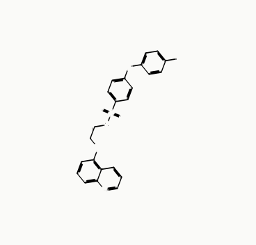 C[C@@H](COc1cccc2ncccc12)NS(=O)(=O)c1ccc(Oc2ccc(F)cc2)cc1